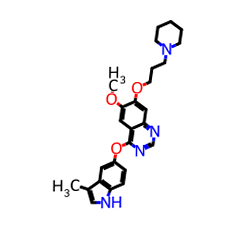 COc1cc2c(Oc3ccc4[nH]cc(C)c4c3)ncnc2cc1OCCCN1CCCCC1